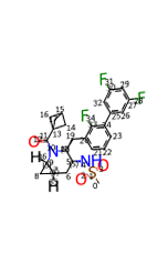 CS(=O)(=O)N[C@H]1C[C@@H]2C[C@@H]2N(C(=O)C23CC(C2)C3)[C@H]1Cc1cccc(-c2cc(F)cc(F)c2)c1F